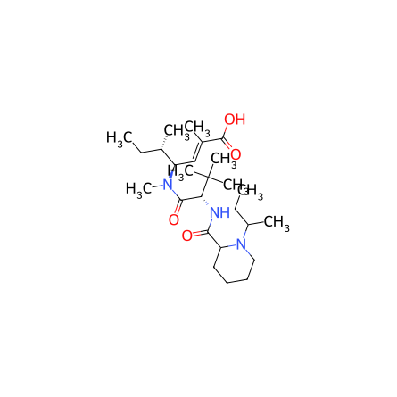 CCC(C)N1CCCCC1C(=O)N[C@H](C(=O)N(C)[C@H](/C=C(\C)C(=O)O)[C@@H](C)CC)C(C)(C)C